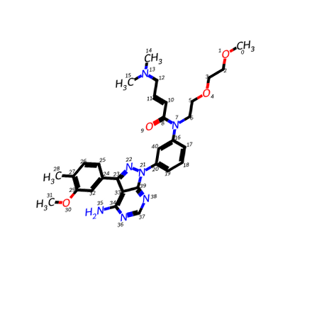 COCCOCCN(C(=O)/C=C/CN(C)C)c1cccc(-n2nc(-c3ccc(C)c(OC)c3)c3c(N)ncnc32)c1